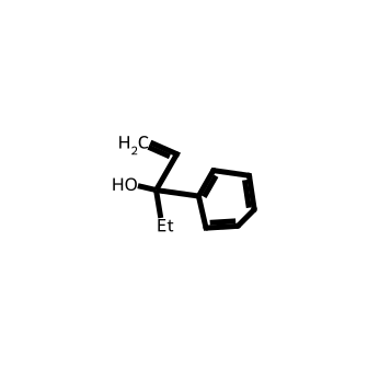 C=CC(O)(CC)c1ccccc1